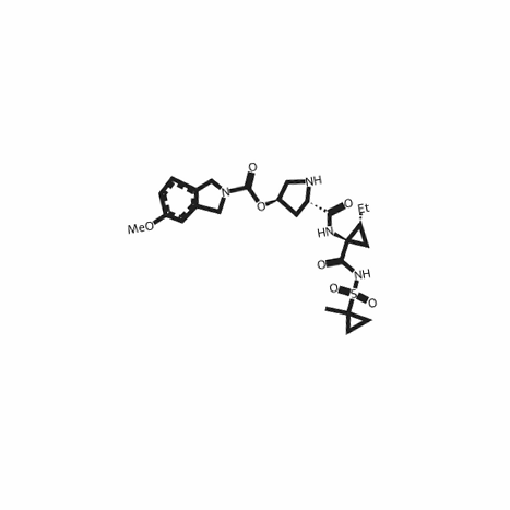 CC[C@@H]1C[C@]1(NC(=O)[C@@H]1C[C@@H](OC(=O)N2Cc3ccc(OC)cc3C2)CN1)C(=O)NS(=O)(=O)C1(C)CC1